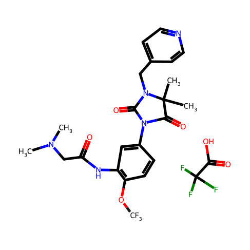 CN(C)CC(=O)Nc1cc(N2C(=O)N(Cc3ccncc3)C(C)(C)C2=O)ccc1OC(F)(F)F.O=C(O)C(F)(F)F